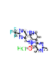 Cc1nc(C)c(C(=O)NCc2ccnc(C(F)(F)F)n2)c(C2CCNCC2)n1.Cl